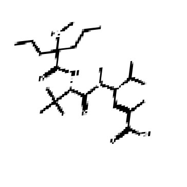 CCCC(CCC)(NC)C(=O)N[C@H](C(=O)N(C)[C@H](/C=C(\C)C(=O)O)C(C)C)C(C)(C)C